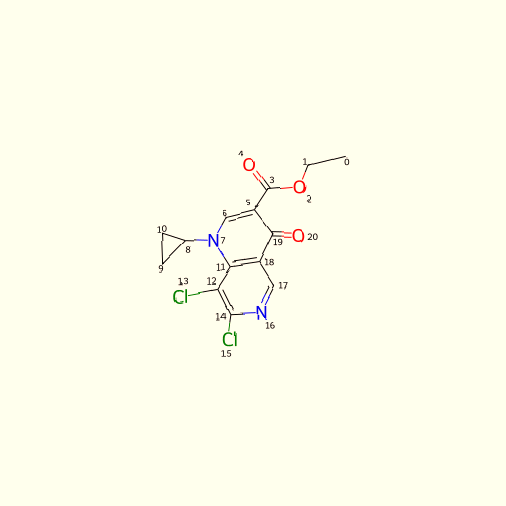 CCOC(=O)c1cn(C2CC2)c2c(Cl)c(Cl)ncc2c1=O